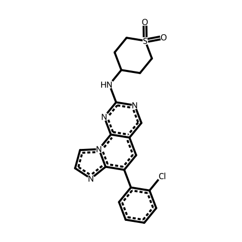 O=S1(=O)CCC(Nc2ncc3cc(-c4ccccc4Cl)c4nccn4c3n2)CC1